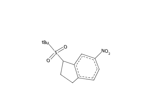 CC(C)(C)S(=O)(=O)C1CCc2ccc([N+](=O)[O-])cc21